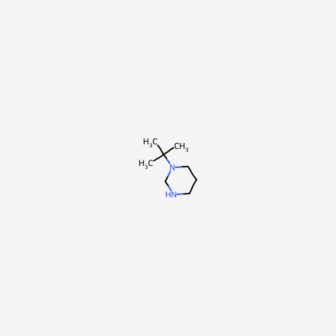 CC(C)(C)N1CCCNC1